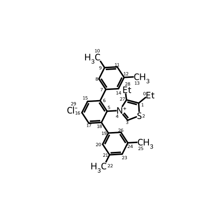 CCc1sc[n+](-c2c(-c3cc(C)cc(C)c3)cccc2-c2cc(C)cc(C)c2)c1CC.[Cl-]